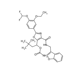 CCOc1cc(-c2nc(C(=O)NCc3coc4ccccc34)c(C(CC(C)(C)C)OC(N)=O)o2)ccc1OC(F)F